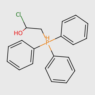 OC(Cl)C[PH](c1ccccc1)(c1ccccc1)c1ccccc1